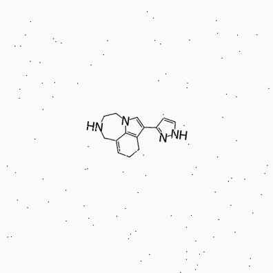 C1=C2CNCCn3cc(-c4cc[nH]n4)c(c32)CC1